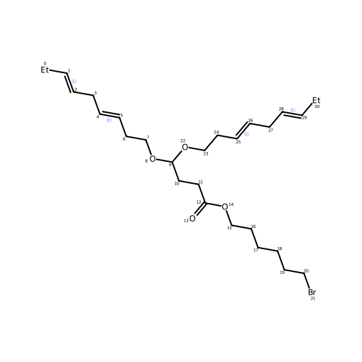 CC/C=C/C/C=C/CCOC(CCC(=O)OCCCCCCBr)OCC/C=C/C/C=C/CC